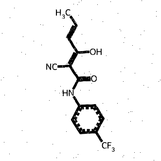 C/C=C/C(O)=C(\C#N)C(=O)Nc1ccc(C(F)(F)F)cc1